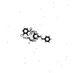 Cc1c(Cl)cccc1S(=O)(=O)Nc1cc(N[C@H](C)CO)nc(SCc2ccccc2)n1